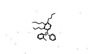 CCCCc1ccc(P(c2ccccc2)c2ccccc2C)c(CCCC)c1CCCC